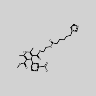 COC(=O)C1=C(C)NC(C)=C(C(=O)OCCOC(=O)CCCCCn2ccnc2)C1c1cccc([N+](=O)[O-])c1